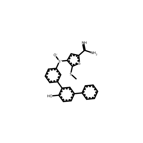 CSc1sc(C(=N)N)cc1[S+]([O-])c1cccc(-c2cc(-c3ccccc3)ccc2O)c1